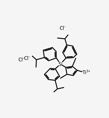 CC1=C([Si](c2cccc(C(C)C)c2)(c2cccc(C(C)C)c2)c2cccc(C(C)C)c2)C(C)C=[C]1[Ti+3].[Cl-].[Cl-].[Cl-]